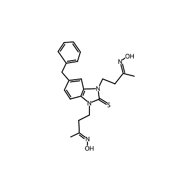 CC(CCn1c(=S)n(CCC(C)=NO)c2cc(Cc3ccccc3)ccc21)=NO